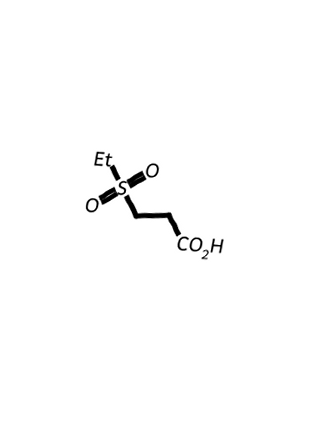 CCS(=O)(=O)CCC(=O)O